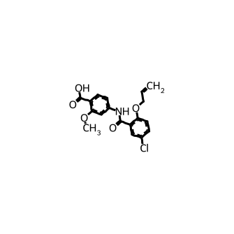 C=CCOc1ccc(Cl)cc1C(=O)Nc1ccc(C(=O)O)c(OC)c1